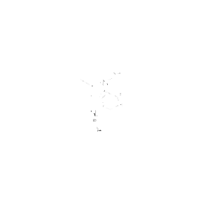 C=CCc1c(N=C=O)cccc1N=C=O